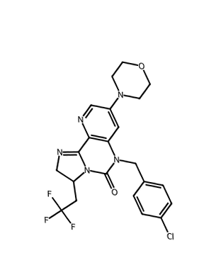 O=C1N(Cc2ccc(Cl)cc2)c2cc(N3CCOCC3)cnc2C2=NCC(CC(F)(F)F)N12